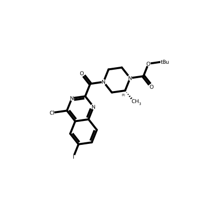 C[C@@H]1CN(C(=O)c2nc(Cl)c3cc(I)ccc3n2)CCN1C(=O)OC(C)(C)C